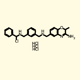 CC1Oc2ccc(CNCc3cccc(CNC(Cl)c4ccccc4)c3)cc2N=C1N.Cl.Cl.Cl